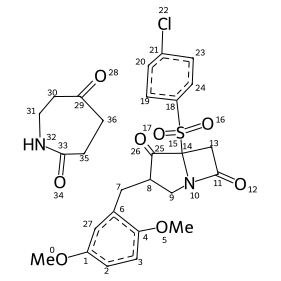 COc1ccc(OC)c(CC2CN3C(=O)CC3(S(=O)(=O)c3ccc(Cl)cc3)C2=O)c1.O=C1CCNC(=O)CC1